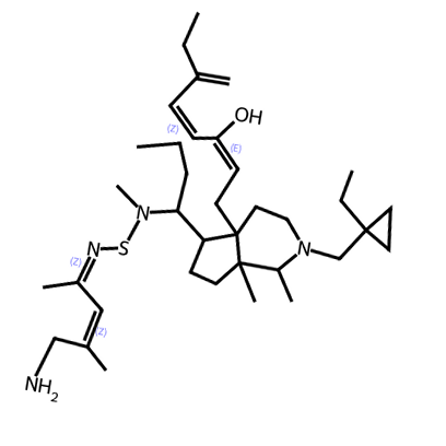 C=C(/C=C\C(O)=C/CC12CCN(CC3(CC)CC3)C(C)C1(C)CCC2C(CCC)N(C)S/N=C(C)\C=C(\C)CN)CC